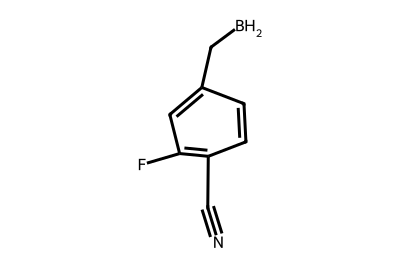 BCc1ccc(C#N)c(F)c1